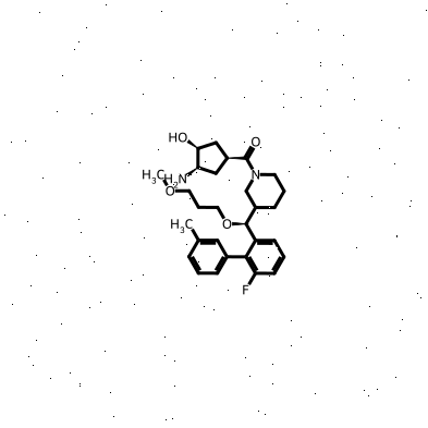 COCCCO[C@H](c1cccc(F)c1-c1cccc(C)c1)C1CCCN(C(=O)[C@H]2C[C@@H](N)[C@@H](O)C2)C1